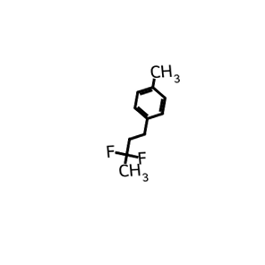 Cc1ccc(CCC(C)(F)F)cc1